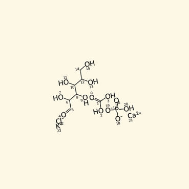 O=C(O)O.O=CC(O)C(O)C(O)C(O)CO.O=P([O-])([O-])O.[Ca+2].[Cl-].[K+]